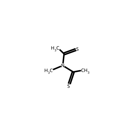 CC(=S)N(C)C(C)=S